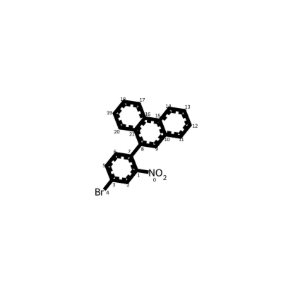 O=[N+]([O-])c1cc(Br)ccc1-c1cc2ccccc2c2ccccc12